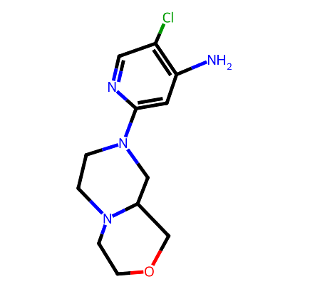 Nc1cc(N2CCN3CCOCC3C2)ncc1Cl